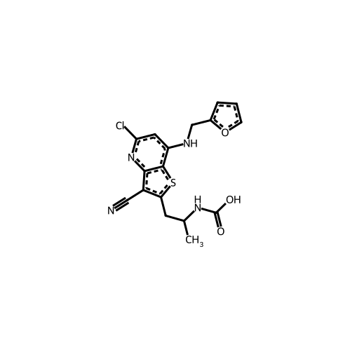 CC(Cc1sc2c(NCc3ccco3)cc(Cl)nc2c1C#N)NC(=O)O